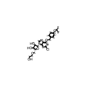 OCCOC[C@H]1O[C@@H](n2cnc3c(OCc4ccc(OC(F)F)cc4)nc(Cl)nc32)[C@H](O)[C@@H]1O